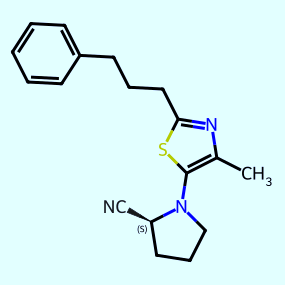 Cc1nc(CCCc2ccccc2)sc1N1CCC[C@H]1C#N